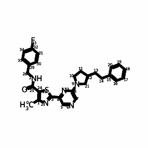 Cc1nc(-c2cncc(N3CCC(CCc4ccccc4)C3)n2)sc1C(=O)NCc1ccc(F)cc1